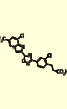 O=C(O)CCc1ccc(-c2noc(-c3cn4cc(C(F)(F)F)cc(Cl)c4n3)n2)cc1Cl